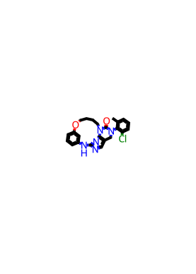 Cc1cccc(Cl)c1N1Cc2cnc3nc2N(CCCCOc2cccc(c2)N3)C1=O